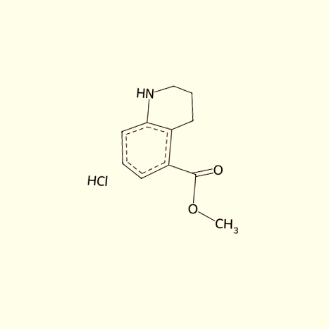 COC(=O)c1cccc2c1CCCN2.Cl